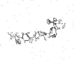 Cc1c(C(C)(C)C)noc1-c1ccc(-c2ccc([C@H](C)Nc3cncc(N4C(=O)OC[C@@H]4C(C)C)n3)cc2)cc1